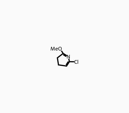 COC1=NC(Cl)=CCC1